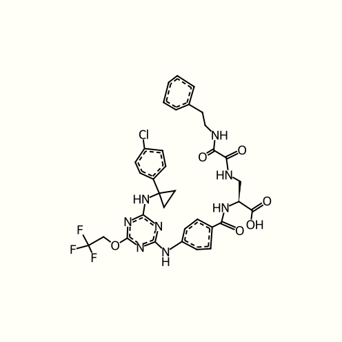 O=C(NCCc1ccccc1)C(=O)NC[C@H](NC(=O)c1ccc(Nc2nc(NC3(c4ccc(Cl)cc4)CC3)nc(OCC(F)(F)F)n2)cc1)C(=O)O